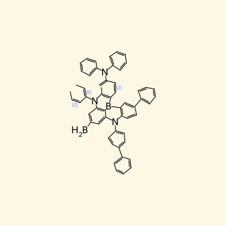 Bc1cc2c3c(c1)N(c1ccc(-c4ccccc4)cc1)c1ccc(-c4ccccc4)cc1B3C(/C=C\C(=C)N(c1ccccc1)c1ccccc1)=C(C)N2C(/C=C\C)=C/C